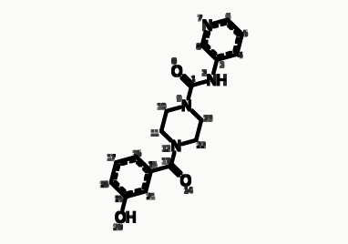 O=C(Nc1cccnc1)N1CCN(C(=O)c2cccc(O)c2)CC1